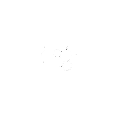 CCc1cccc(CC)c1-n1cncc1C(=O)[O-].C[N+](C)(C)CCCl